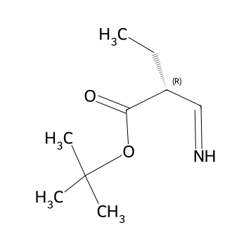 CC[C@H](C=N)C(=O)OC(C)(C)C